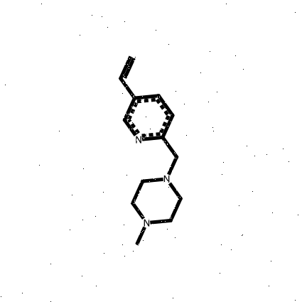 C=Cc1ccc(CN2CCN(C)CC2)nc1